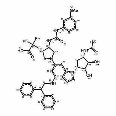 CCC(=O)N[C@H]1C[C@@H](n2cnc3c(NCC(c4ccccc4)c4ccccc4)nc(N4CC[C@@H](NC(=O)Nc5cccc(SC)c5)C4)nc32)[C@H](O)[C@@H]1O.O=C(O)C(F)(F)F